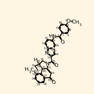 COc1ccc(C(=O)Nc2ccc3nc(C(=O)N4C[C@H]5CC[C@@]56C4=CC(=O)c4cccc(C)c46)cn3c2)cc1